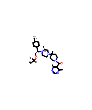 [2H]C([2H])([2H])OC[C@@H](c1ccc(C(F)(F)F)cc1)N1CCN(C2(C)CCN(C(=O)c3c(C)ncnc3C)CC2)C[C@@H]1C